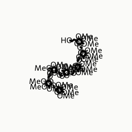 COC1[C@H](OC)O[C@H](CO[C@@H]2O[C@H](COO[C@@H]3O[C@H](COO[C@@H]4O[C@H](COO[C@@H]5O[C@H](COO[C@@H]6O[C@H](CO[C@@H]7OC(CCO)[C@@H](OC)[C@@H](OC)C7OC)[C@@H](OC)[C@@H](OC)C6OC)[C@@H](OC)[C@@H](OC)C5OC)[C@@H](OC)[C@@H](OC)C4OC)[C@@H](OC)[C@@H](OC)C3OC)[C@@H](OC)[C@@H](OC)C2OC)[C@@H](OC)[C@H]1OC